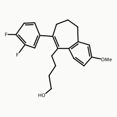 COc1ccc2c(c1)CCCC(c1ccc(F)c(F)c1)=C2CCCCO